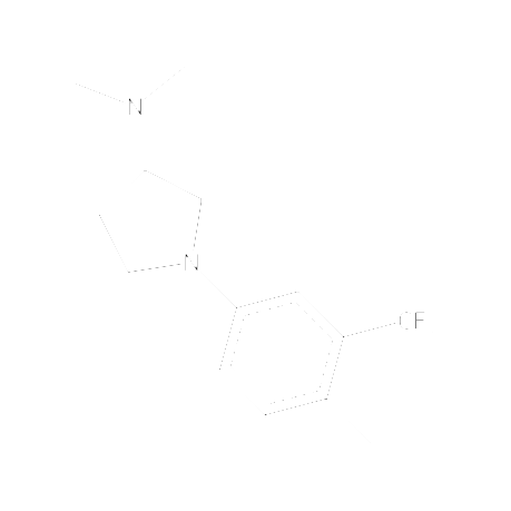 Cc1ccc(N2CC[C@H](N(C)C)C2)cc1C(F)(F)F